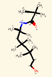 CC(C)(CC(C)(C)C(C)(C)CCO)NC(=O)C(C)(C)C